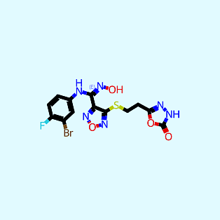 O=c1[nH]nc(CCSc2nonc2/C(=N\O)Nc2ccc(F)c(Br)c2)o1